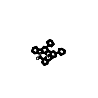 O=c1c2cccc3c4cc(-c5ccccc5)cc5c6c(-c7ccccc7)cc7c8ccccc8n1c7c6n(c23)c45